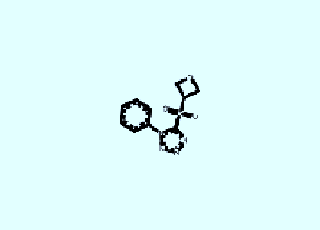 O=S(=O)(c1nnnn1-c1ccccc1)C1COC1